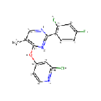 Cc1cnc(-c2ccc(F)cc2F)nc1Oc1ccnc(Cl)c1